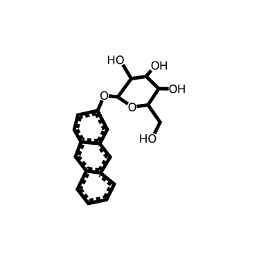 OCC1OC(Oc2ccc3cc4ccccc4cc3c2)C(O)C(O)C1O